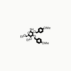 CCOC[C@H]1O[C@@H](S)[C@H](OCc2ccc(OC)cc2)[C@@H](OCc2ccc(OC)cc2)[C@H]1OCC